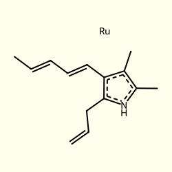 C=CCc1[nH]c(C)c(C)c1C=CC=CC.[Ru]